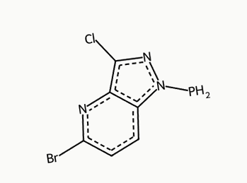 Pn1nc(Cl)c2nc(Br)ccc21